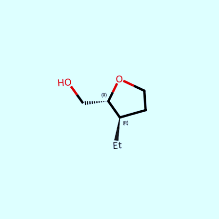 CC[C@@H]1CCO[C@H]1CO